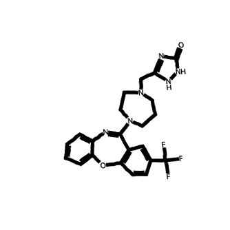 O=c1nc(CN2CCCN(C3=Nc4ccccc4Oc4ccc(C(F)(F)F)cc43)CC2)[nH][nH]1